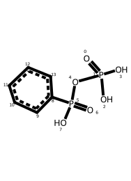 O=P(O)(O)OP(=O)(O)c1ccccc1